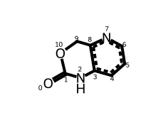 O=C1Nc2cccnc2CO1